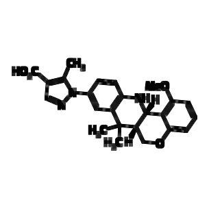 COc1cccc2c1[C@H]1Nc3ccc(-n4ncc(C(=O)O)c4C)cc3C(C)(C)[C@H]1CO2